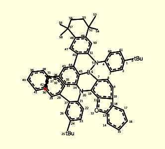 CC(C)(C)c1ccc(N2B3c4ccc5c(oc6ccccc65)c4N(c4ccc(C(C)(C)C)cc4-c4ccccc4)c4cc(-c5ccccc5)cc(c43)-c3cc4c(cc32)C(C)(C)CCC4(C)C)cc1